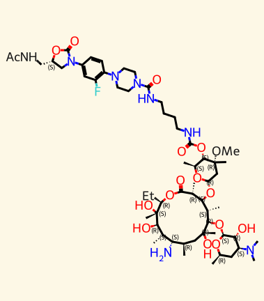 CC[C@H]1OC(=O)[C@H](C)[C@@H](O[C@H]2C[C@@](C)(OC)[C@@H](OC(=O)NCCCCNC(=O)N3CCN(c4ccc(N5C[C@H](CNC(C)=O)OC5=O)cc4F)CC3)[C@H](C)O2)[C@H](C)[C@@H](O[C@@H]2O[C@H](C)C[C@H](N(C)C)[C@H]2O)[C@](C)(O)C[C@@H](C)[C@H](N)[C@H](C)[C@@H](O)[C@]1(C)O